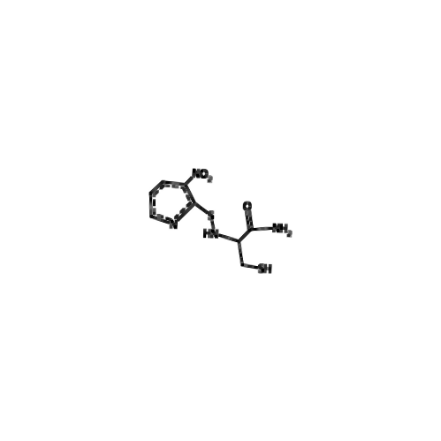 NC(=O)C(CS)NSc1ncccc1[N+](=O)[O-]